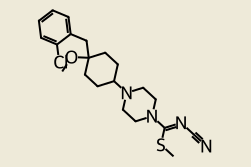 COC1(Cc2ccccc2Cl)CCC(N2CCN(/C(=N/C#N)SC)CC2)CC1